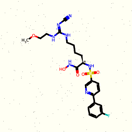 COCCN/C(=N/C#N)NCCCC[C@@H](NS(=O)(=O)c1ccc(-c2cccc(F)c2)nc1)C(=O)NO